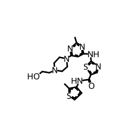 Cc1nc(Nc2ncc(C(=O)Nc3ccsc3C)s2)cc(N2CCN(CCO)CC2)n1